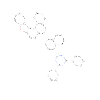 c1ccc(-c2nc(-c3ccccc3)nc(-c3ccc(-c4cc5ccccc5c5c4ccc4oc6ccccc6c45)c4ccccc34)n2)cc1